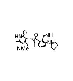 CNCc1cc(C)[nH]c(=O)c1CNC(=O)c1cccc(NC2CCCC2)c1C=N